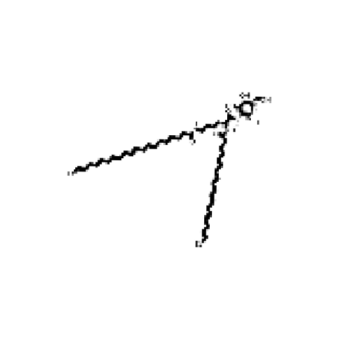 CCC=CCC=CCC=CCC=CCC=CCC=CCCC(=O)NCCCC[C@H](NC(=O)CCCC=CCC=CCC=CCC=CCC=CCC)C(=O)N[C@@H]1[C@@H](O)[C@H](O)[C@@H](CO)O[C@H]1O